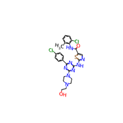 Cc1cccc(Cl)c1NC(=O)c1cnc(Nc2nc(-c3ccc(Cl)cc3)nc(N3CCN(CCO)CC3)n2)s1